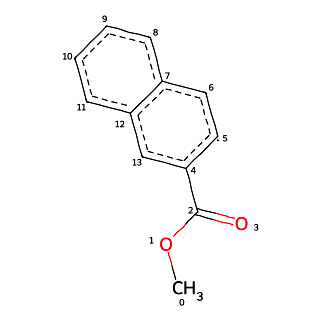 COC(=O)c1[c]cc2ccccc2c1